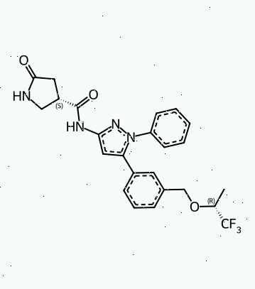 C[C@@H](OCc1cccc(-c2cc(NC(=O)[C@@H]3CNC(=O)C3)nn2-c2ccccc2)c1)C(F)(F)F